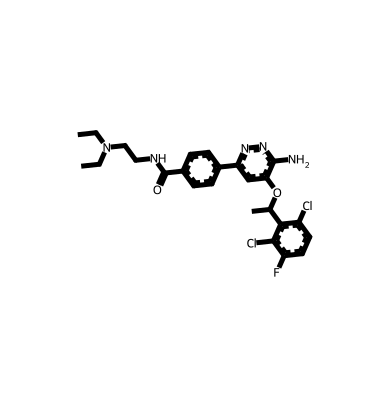 CCN(CC)CCNC(=O)c1ccc(-c2cc(OC(C)c3c(Cl)ccc(F)c3Cl)c(N)nn2)cc1